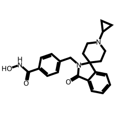 O=C(NO)c1ccc(CN2C(=O)c3ccccc3C23CCN(C2CC2)CC3)cc1